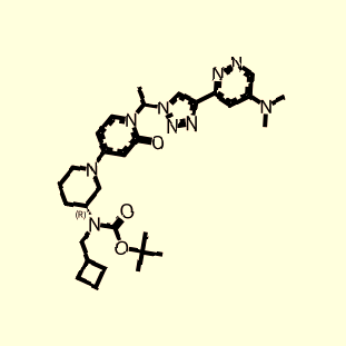 CC(n1cc(-c2cc(N(C)C)cnn2)nn1)n1ccc(N2CCC[C@@H](N(CC3CCC3)C(=O)OC(C)(C)C)C2)cc1=O